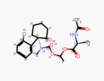 CC(OC(=O)[C@@H](NC(=O)C(F)(F)F)C(C)C)OC(=O)N(C)[C@]1(c2ccccc2Cl)CCCCC1=O